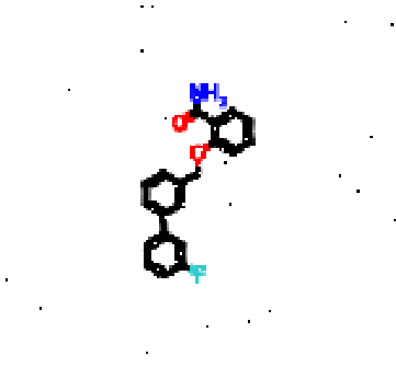 NC(=O)c1ccccc1OCc1cccc(-c2cccc(F)c2)c1